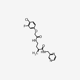 C=C(CCNC(=O)COc1ccc(Cl)c(F)c1)C(=O)NCc1cnccn1